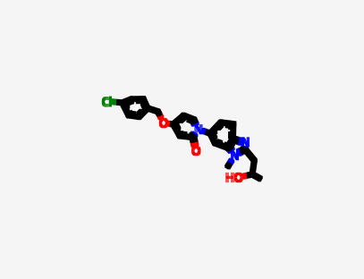 CC(O)Cc1nc2ccc(-n3ccc(OCc4ccc(Cl)cc4)cc3=O)cc2n1C